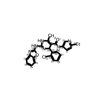 CCc1ccc(NC(=O)C2=C(C)NC(Nc3nc4ccccc4o3)=NC2c2ccccc2Cl)cn1